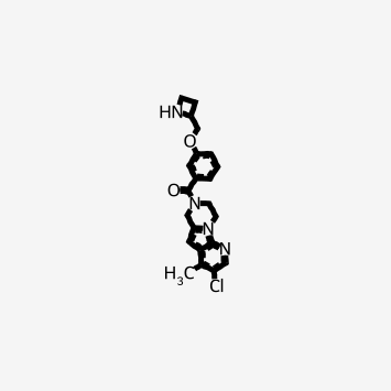 Cc1c(Cl)cnc2c1cc1n2CCN(C(=O)c2cccc(OCC3CCN3)c2)C1